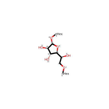 CCCCCCOC[C@H](O)[C@@H]1O[C@H](OCCCCCC)[C@H](O)[C@H]1O